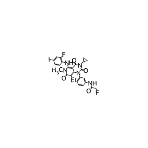 CCc1c(=O)n(C)c(Nc2ccc(I)cc2F)c2c(=O)n(C3CC3)c(=O)n(-c3cccc(NC(=O)CF)c3)c12